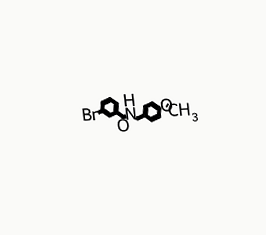 COc1ccc(CNC(=O)c2cccc(Br)c2)cc1